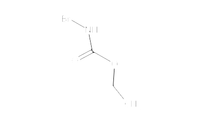 CCOC(=O)NBr